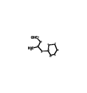 CC(CC=O)CC1CCCCC1